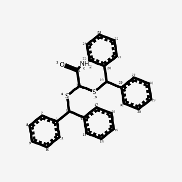 NC(=O)C(SC(c1ccccc1)c1ccccc1)SC(c1ccccc1)c1ccccc1